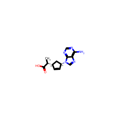 CC(C(=O)O)[C@H]1C=C[C@@H](n2cnc3c(N)ncnc32)C1